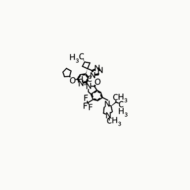 CC(C)[C@H]1CN(C)CCN1Cc1cc2c(c(C(F)(F)F)c1)CN(c1cc([C@]3(c4nncn4C)C[C@H](C)C3)cc(OC3CCCC3)n1)C2=O